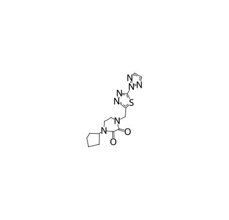 O=C1C(=O)N(C2CCCC2)CCN1Cc1nnc(-n2nccn2)s1